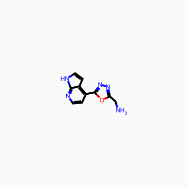 NCc1nnc(-c2ccnc3[nH]ccc23)o1